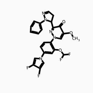 COc1cn(-c2ccc(-n3cc(F)c(F)c3)cc2OC(F)F)nc(C2CC=NN2c2ccccc2)c1=O